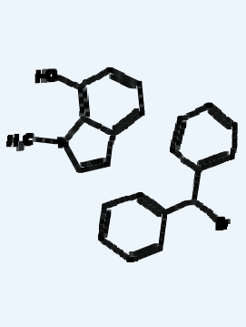 BrC(c1ccccc1)c1ccccc1.Cn1ccc2cccc(O)c21